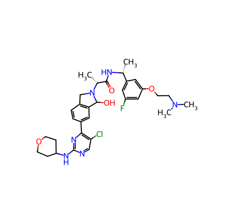 C[C@H](C(=O)N[C@H](C)c1cc(F)cc(OCCN(C)C)c1)N1Cc2ccc(-c3nc(NC4CCOCC4)ncc3Cl)cc2C1O